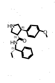 CC[C@H](NC(=O)[C@@H]1CNC[C@H]1c1ccc(OC)cc1)c1ccccc1